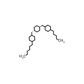 CCCCCCC1CCC(C[C@H]2CC[C@H](CC3CCC(CCCCC)CC3)CC2)CC1